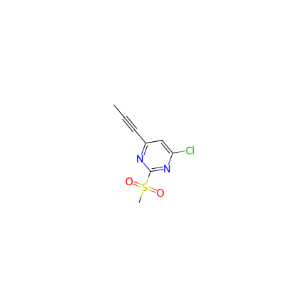 CC#Cc1cc(Cl)nc(S(C)(=O)=O)n1